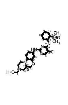 CCN1CCN2c3ccc(Nc4ncc(Cl)c(Nc5ccccc5P(C)(C)=O)n4)cc3OC[C@@H]2C1